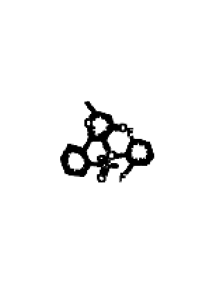 Cc1cc(=O)c(Oc2c(F)cccc2F)c(-c2ccccc2S(C)(=O)=O)o1